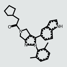 Cc1cccc(C)c1-n1nc2c(c1-c1ccc3[nH]ccc3c1)CN(C(=O)CC1CCCC1)C2